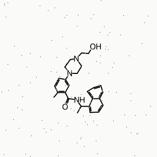 Cc1ccc(N2CCN(CCO)CC2)cc1C(=O)NC(C)c1cccc2ccccc12